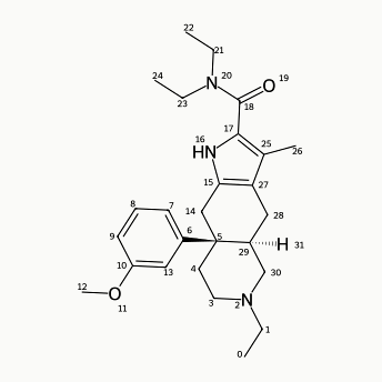 CCN1CC[C@]2(c3cccc(OC)c3)Cc3[nH]c(C(=O)N(CC)CC)c(C)c3C[C@H]2C1